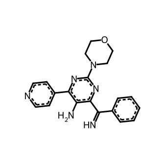 N=C(c1ccccc1)c1nc(N2CCOCC2)nc(-c2ccncc2)c1N